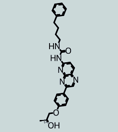 C[C@H](O)COc1ccc(-c2cnc3ccc(NC(=O)NCCCCc4ccccc4)nc3n2)cc1